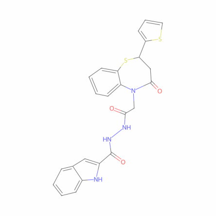 O=C(CN1C(=O)CC(c2cccs2)Sc2ccccc21)NNC(=O)c1cc2ccccc2[nH]1